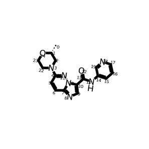 C[C@@H]1CN(c2ccc3ncc(C(=O)Nc4cccnc4)n3n2)CCO1